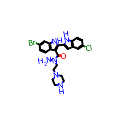 NN(CCN1CCNCC1)C(=O)c1c(-c2cc3cc(Cl)ccc3[nH]2)[nH]c2cc(Br)ccc12